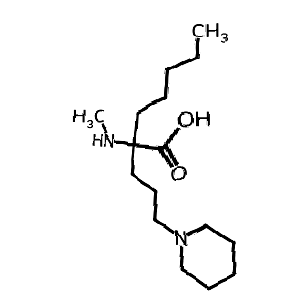 CCCCCC(CCCN1CCCCC1)(NC)C(=O)O